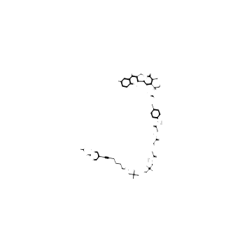 CCc1c2c(nc3ccc(O)cc13)-c1cc3c(c(=O)n1C2)COC(=O)[C@@]3(CC)OC(=O)OCc1ccc(NC(=O)CNC(=O)COCC(=O)NCC(C)(C)COCC(C)(C)CNC(=O)CCCC#Cc2cnc(SC(CC)CC)nc2)cc1